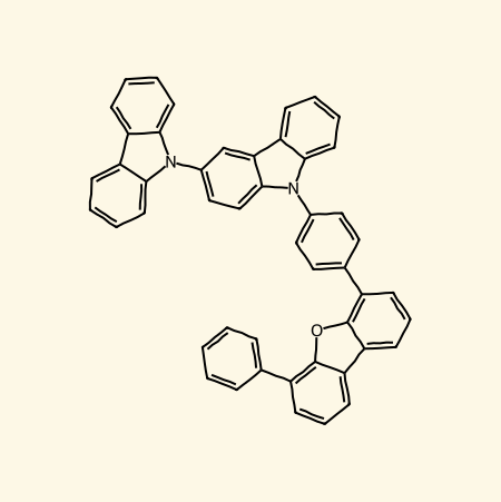 c1ccc(-c2cccc3c2oc2c(-c4ccc(-n5c6ccccc6c6cc(-n7c8ccccc8c8ccccc87)ccc65)cc4)cccc23)cc1